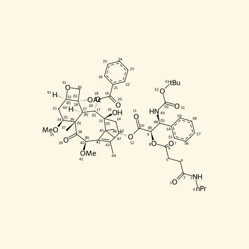 CCCNC(=O)CCC(=O)O[C@@H](C(=O)O[C@H]1C[C@@]2(O)[C@@H](OC(=O)c3ccccc3)[C@@H]3[C@]4(OC(C)=O)CO[C@@H]4C[C@H](OC)[C@@]3(C)C(=O)[C@H](OC)C(=C1C)C2(C)C)[C@@H](NC(=O)OC(C)(C)C)c1ccccc1